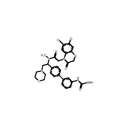 CNC(=O)Nc1cccc(-c2ccc(C(CN3CCOCC3)N(C)C(=O)CN3C(=O)COc4cc(Cl)c(Cl)cc43)cc2)c1